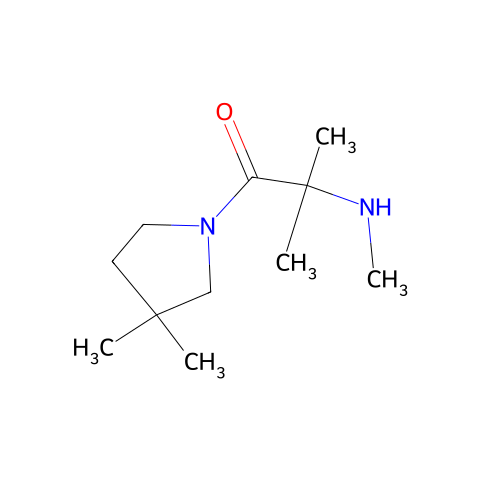 CNC(C)(C)C(=O)N1CCC(C)(C)C1